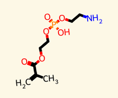 C=C(C)C(=O)OCCOP(=O)(O)OCCN